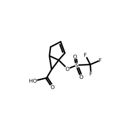 O=C(O)C1C2CC=CC21OS(=O)(=O)C(F)(F)F